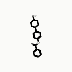 CCCC1CCC(c2ccc(OC(=O)c3ccccc3)cc2)CC1